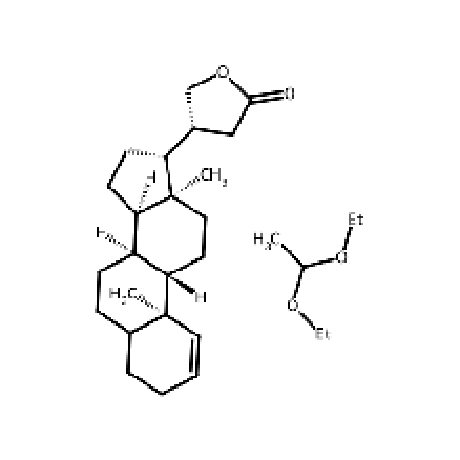 CCOC(C)OCC.C[C@]12CC[C@H]3[C@@H](CCC4CCC=C[C@@]43C)[C@H]1CC[C@@H]2[C@@H]1COC(=O)C1